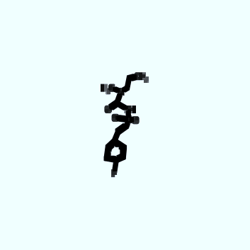 C=CCN(C)C(=O)NS(=O)(=O)/C=C/c1ccc(F)cc1